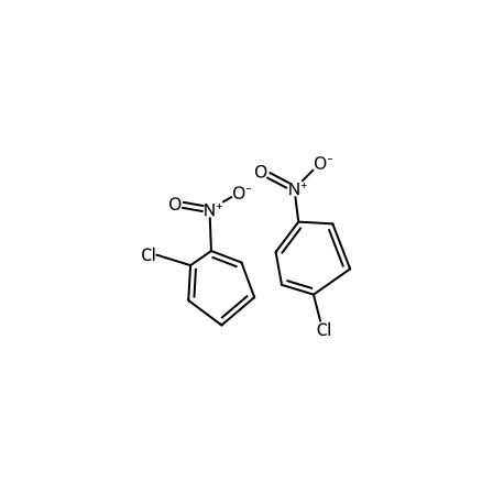 O=[N+]([O-])c1ccc(Cl)cc1.O=[N+]([O-])c1ccccc1Cl